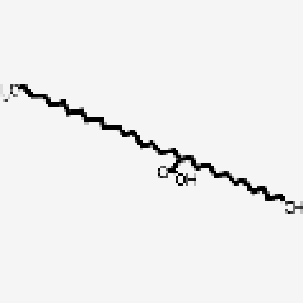 CCCCCCCCCCCCCCCCCCC(CCCCCCCCCCCC)C(=O)O